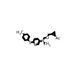 CC(=O)C1CC1COCN(C)c1ccc(SC2=CCC(C)C=C2)nc1